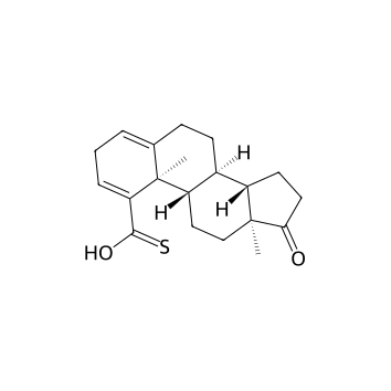 C[C@@]12C(=CCC=C1C(O)=S)CC[C@@H]1[C@@H]2CC[C@]2(C)C(=O)CC[C@@H]12